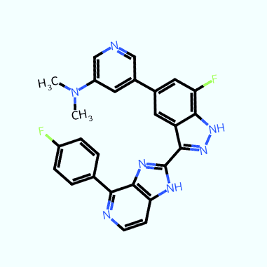 CN(C)c1cncc(-c2cc(F)c3[nH]nc(-c4nc5c(-c6ccc(F)cc6)nccc5[nH]4)c3c2)c1